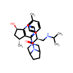 Cc1ccc([C@@H](CNC(C)C)C(=O)N2C3CCC2CN(c2ncnc4c2[C@H](C)C[C@H]4O)C3)cc1